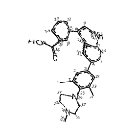 Cc1cc(-c2cnc3[nH]cc(-c4cccc(C(=O)O)c4)c3c2)cc(C)c1N1CCN(C)CC1